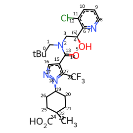 CC(C)(C)CN(C[C@H](O)c1ncccc1Cl)C(=O)c1cnn([C@H]2CC[C@](C)(C(=O)O)CC2)c1C(F)(F)F